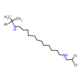 CCC(CC)CNCCCCCCCCCCCCNC(C)(C)C(C)C